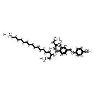 CCCCCCCCCCCCCCCC(CC)ON(NC(=O)CC)c1ccc(COc2ccc(O)cc2)cc1